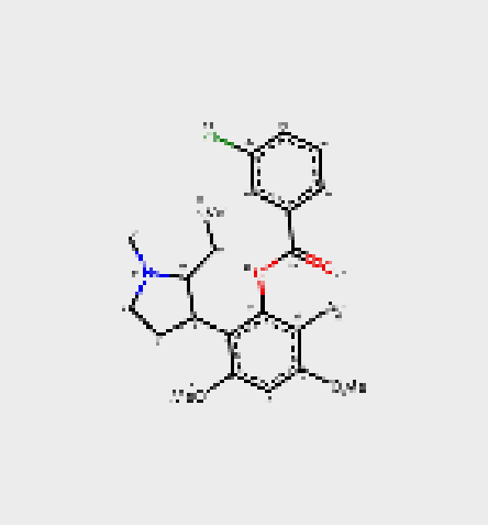 COc1cc(OC)c(C2CCN(C)C2COC(C)=O)c(OC(=O)c2cccc(Cl)c2)c1C(C)=O